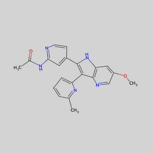 COc1cnc2c(-c3cccc(C)n3)c(-c3ccnc(NC(C)=O)c3)[nH]c2c1